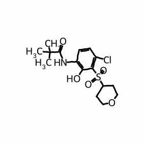 CC(C)(C)C(=O)Nc1ccc(Cl)c(S(=O)(=O)C2CCOCC2)c1O